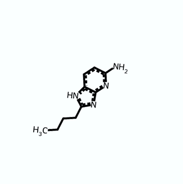 CCCCc1nc2nc(N)ccc2[nH]1